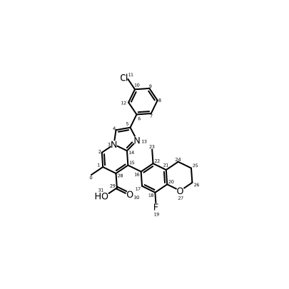 Cc1cn2cc(-c3cccc(Cl)c3)nc2c(-c2cc(F)c3c(c2C)CCCO3)c1C(=O)O